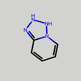 C1=CC2=NNNN2C=C1